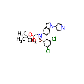 CC(C)(C)OC(=O)CN(Sc1cc(Cl)cc(Cl)c1)c1ccc2c(ccn2-c2ccncc2)c1